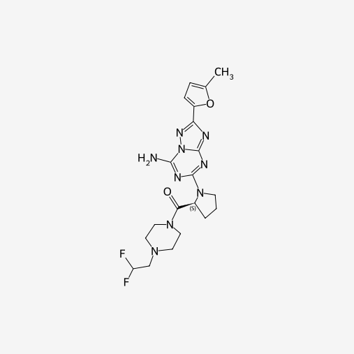 Cc1ccc(-c2nc3nc(N4CCC[C@H]4C(=O)N4CCN(CC(F)F)CC4)nc(N)n3n2)o1